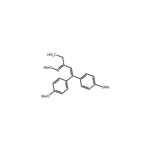 CON=C(C=C(c1ccc(OC)cc1)c1ccc(OC)cc1)CC(=O)O